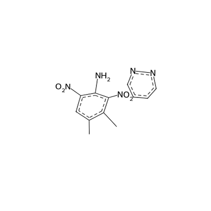 Cc1cc([N+](=O)[O-])c(N)c([N+](=O)[O-])c1C.c1ccnnc1